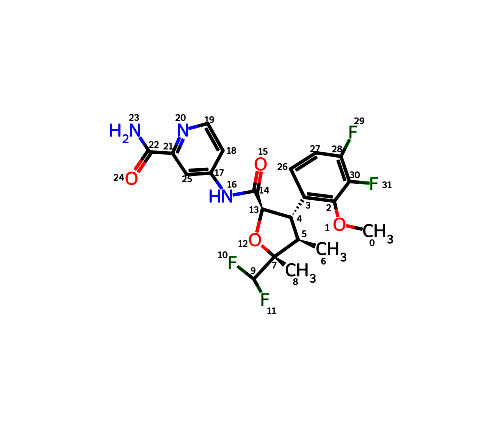 COc1c([C@@H]2[C@@H](C)[C@](C)(C(F)F)O[C@H]2C(=O)Nc2ccnc(C(N)=O)c2)ccc(F)c1F